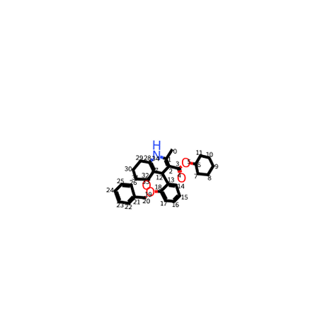 CC1=C(C(=O)OC2CCCCC2)C(c2ccccc2OCc2ccccc2)C2=C(CCCC2=O)N1